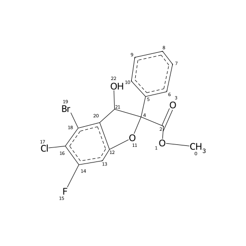 COC(=O)C1(c2ccccc2)Oc2cc(F)c(Cl)c(Br)c2C1O